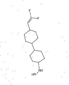 CCCNC1CCC(C2CCC(C=C(F)F)CC2)CC1